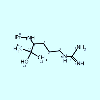 CC(C)NC(CCCNC(=N)N)C(C)(C)O